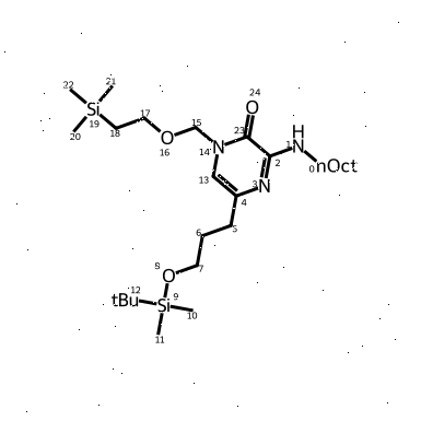 CCCCCCCCNc1nc(CCCO[Si](C)(C)C(C)(C)C)cn(COCC[Si](C)(C)C)c1=O